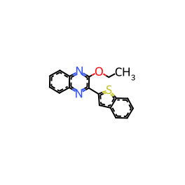 CCOc1nc2ccccc2nc1-c1cc2ccccc2s1